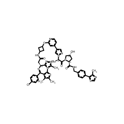 Cc1ncsc1-c1ccc(CNC(=O)[C@@H]2C[C@@H](O)CN2C(=O)[C@H](n2cc(-c3ccnc(OC4CC(NC(=O)C[C@@H]5N=C(c6ccc(Cl)cc6)c6c(sc(C)c6C)-n6c(C)nnc65)C4)c3)cn2)C(C)(C)C)cc1